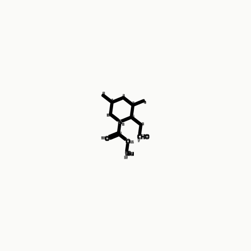 CC1CC(C)C(CC=O)N(C(=O)OC(C)(C)C)C1